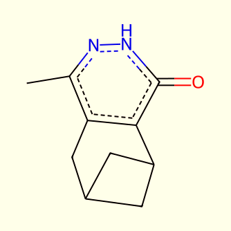 Cc1n[nH]c(=O)c2c1CC1CC2C1